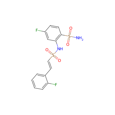 NS(=O)(=O)c1ccc(F)cc1NS(=O)(=O)/C=C/c1ccccc1F